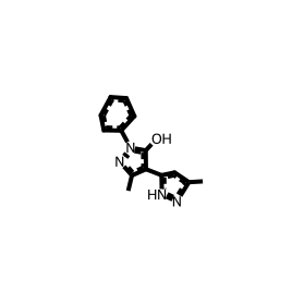 Cc1cc(-c2c(C)nn(-c3ccccc3)c2O)[nH]n1